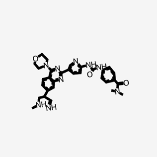 CNCC(C=N)c1ccc2c(N3CCOCC3)nc(-c3ccc(NC(=O)Nc4ccc(C(=O)N(C)C)cc4)nc3)nc2c1